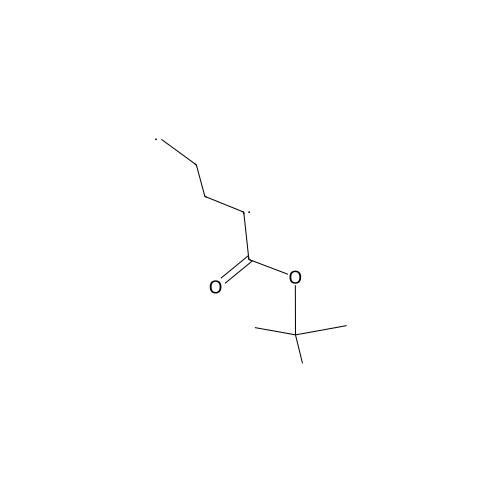 [CH2]CC[CH]C(=O)OC(C)(C)C